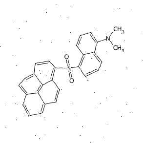 CN(C)c1cccc2c(S(=O)(=O)c3ccc4ccc5cccc6ccc3c4c56)cccc12